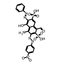 Nc1c(N=Nc2ccc([N+](=O)[O-])cc2)c(S(=O)(=O)O)c(C=O)c2cc(S(=O)(=O)O)c(N=Nc3ccccc3)c(O)c12